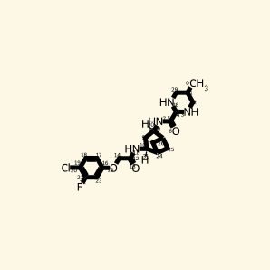 CC1CNC(C(=O)N[C@@H]2C[C@H](NC(=O)COc3ccc(Cl)c(F)c3)C3CC2C3)NC1